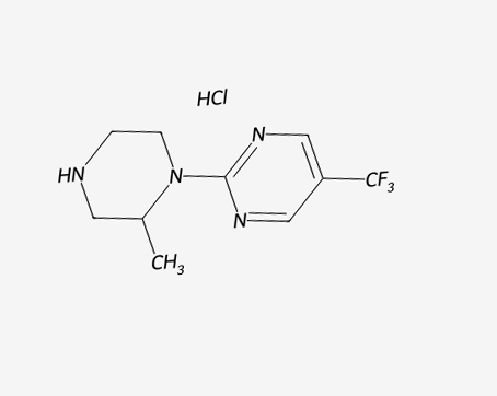 CC1CNCCN1c1ncc(C(F)(F)F)cn1.Cl